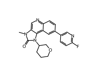 Cn1c(=O)n(C2CCCOC2)c2c3cc(-c4ccc(F)nc4)ccc3ncc21